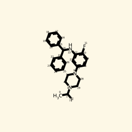 CC(F)N1CCN(c2ccc(F)c(NC(c3ccccc3)c3ccccc3)c2)CC1